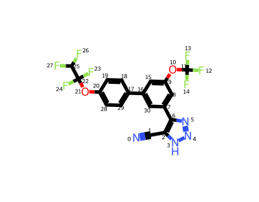 N#Cc1[nH]nnc1-c1cc(OC(F)(F)F)cc(-c2ccc(OC(F)(F)C(F)F)cc2)c1